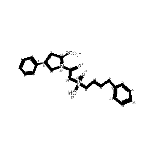 O=C(O)[C@@H]1C[C@H](c2ccccc2)CN1C(=O)CP(=O)(O)CCCCc1ccccc1